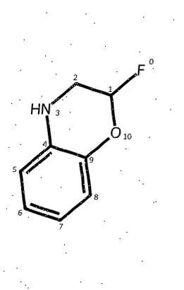 FC1CNc2ccccc2O1